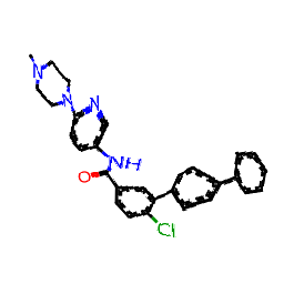 CN1CCN(c2ccc(NC(=O)c3ccc(Cl)c(-c4ccc(-c5ccccc5)cc4)c3)cn2)CC1